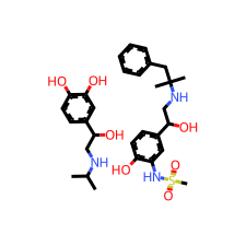 CC(C)(Cc1ccccc1)NCC(O)c1ccc(O)c(NS(C)(=O)=O)c1.CC(C)NCC(O)c1ccc(O)c(O)c1